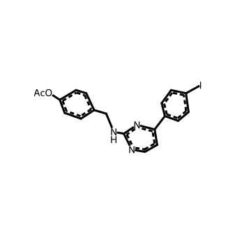 CC(=O)Oc1ccc(CNc2nccc(-c3ccc(I)cc3)n2)cc1